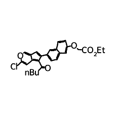 CCCCC(=O)c1c(-c2ccc3cc(OCC(=O)OCC)ccc3c2)cc2coc(Cl)cc1-2